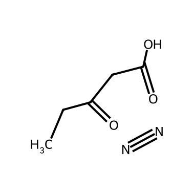 CCC(=O)CC(=O)O.N#N